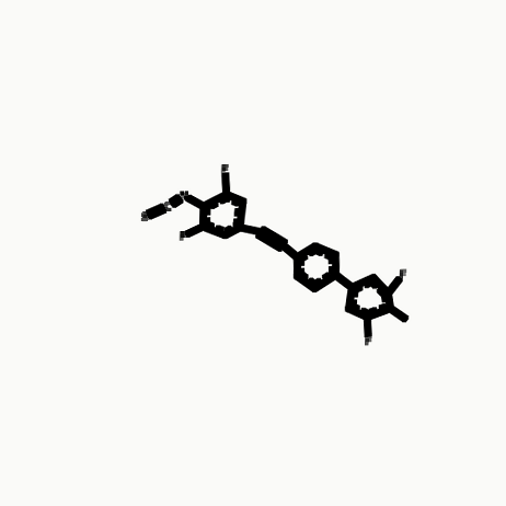 Cc1c(F)cc(-c2ccc(C#Cc3cc(F)c(N=C=S)c(F)c3)cc2)cc1F